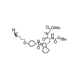 COC(=O)CN(C)C(=O)[C@H](Cc1cn(S(=O)(=O)c2ccc(OCCCN=[N+]=[N-])cc2)c2ccccc12)NC(=O)OC(C)(C)C